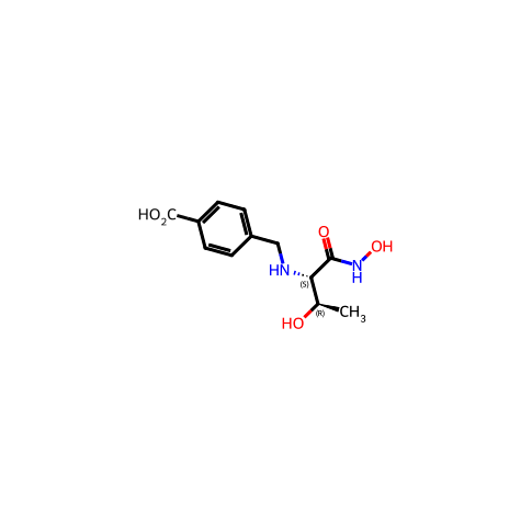 C[C@@H](O)[C@H](NCc1ccc(C(=O)O)cc1)C(=O)NO